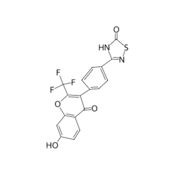 O=c1[nH]c(-c2ccc(-c3c(C(F)(F)F)oc4cc(O)ccc4c3=O)cc2)ns1